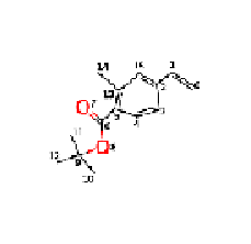 C=Cc1ccc(C(=O)OC(C)(C)C)c(C)c1